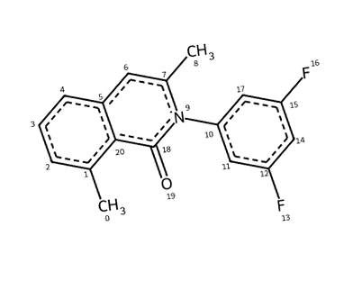 Cc1cccc2cc(C)n(-c3cc(F)cc(F)c3)c(=O)c12